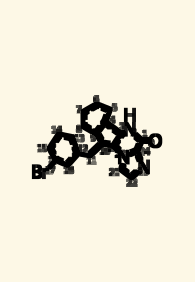 O=c1[nH]c2c3ccccc3c(=Cc3cccc(Br)c3)c2n2ccnc12